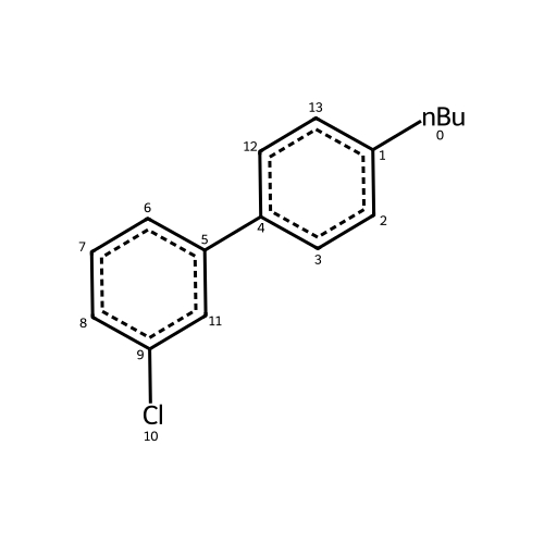 [CH2]CCCc1ccc(-c2cccc(Cl)c2)cc1